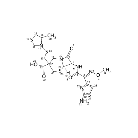 CON=C(C(=O)NC1C(=O)N2CC(CSN3CSCC3C)(C(=O)O)CS[C@H]12)c1csc(N)n1